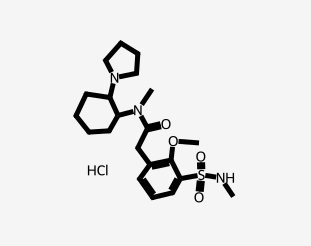 CNS(=O)(=O)c1cccc(CC(=O)N(C)C2CCCCC2N2CCCC2)c1OC.Cl